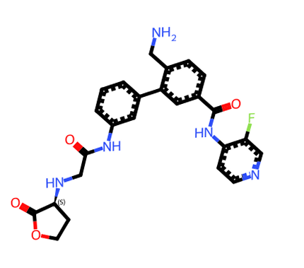 NCc1ccc(C(=O)Nc2ccncc2F)cc1-c1cccc(NC(=O)CN[C@H]2CCOC2=O)c1